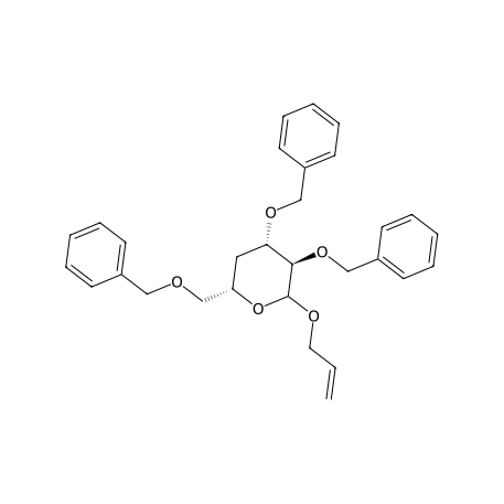 C=CCOC1O[C@H](COCc2ccccc2)C[C@H](OCc2ccccc2)[C@H]1OCc1ccccc1